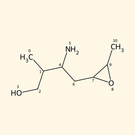 CC(CO)C(N)CC1OC1C